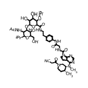 CC(=O)NC1C(C(C)C)OC(CO)C(O)C1OC1OC(C(=O)NCCc2ccc(NC(=O)CNC(=O)n3ccc4c(N(C)[C@H]5CN(C(=O)CC#N)CC[C@H]5C)ncnc43)cc2)C(OC(C)C)C(O)C1O